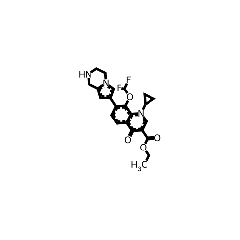 CCOC(=O)c1cn(C2CC2)c2c(OC(F)F)c(-c3cc4n(c3)CCNC4)ccc2c1=O